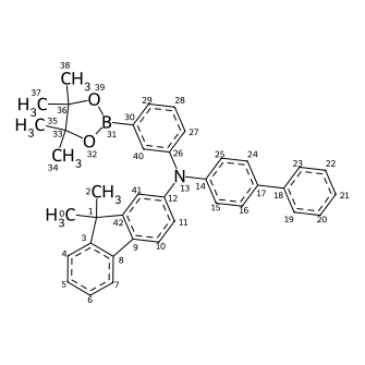 CC1(C)c2ccccc2-c2ccc(N(c3ccc(-c4ccccc4)cc3)c3cccc(B4OC(C)(C)C(C)(C)O4)c3)cc21